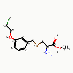 COC(=O)C(N)CSCc1cccc(OCCF)c1